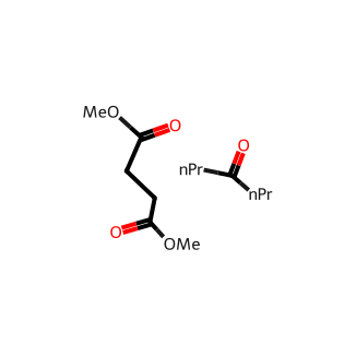 CCCC(=O)CCC.COC(=O)CCC(=O)OC